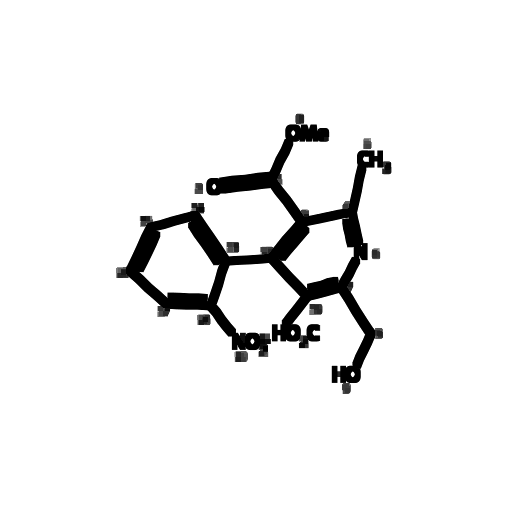 COC(=O)c1c(C)nc(CO)c(C(=O)O)c1-c1ccccc1[N+](=O)[O-]